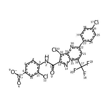 O=C(Nc1ccc([N+](=O)[O-])cc1Cl)c1nn2c(C(F)(F)F)cc(-c3ccc(Cl)cc3)nc2c1Cl